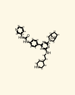 O=C(Nc1ccc(-c2nc(NCCC3CCNCC3)nc(N3CC4CCC(C3)O4)n2)cc1)Nc1cccnc1